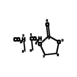 CC(=O)O.CC(=O)O.O=C1OCCO1